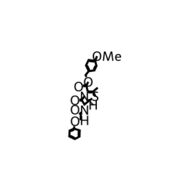 COc1ccc(COC(=O)C2=C(C)S[C@@H]3[C@H](NC(=O)COc4ccccc4)C(=O)N23)cc1